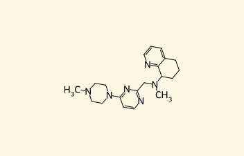 CN1CCN(c2ccnc(CN(C)C3CCCc4cccnc43)n2)CC1